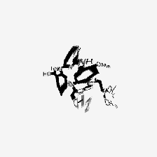 C=CC(=O)Nc1cc(Nc2nccc(N3NC(O)c4ccccc43)n2)c(OC)cc1N(C)CCN(C)C